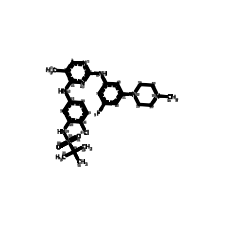 Cc1cnc(Nc2cc(F)cc(N3CCN(C)CC3)c2)nc1Nc1ccc(Cl)c(NS(=O)(=O)C(C)(C)C)c1